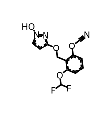 N#COc1cccc(OC(F)F)c1COc1ccn(O)n1